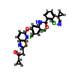 N#CC1(c2cccc(C(=O)Nc3cc(Oc4ccc5nc(CC(=O)C6CC6)sc5n4)c(F)cc3F)c2Cl)CC1